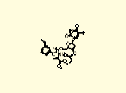 CCC(=O)OC1CC(n2cc(F)c(=O)[nH]c2=O)OC1COP(=O)(NC(C)C(OC)OC)Oc1cccc(CC)c1